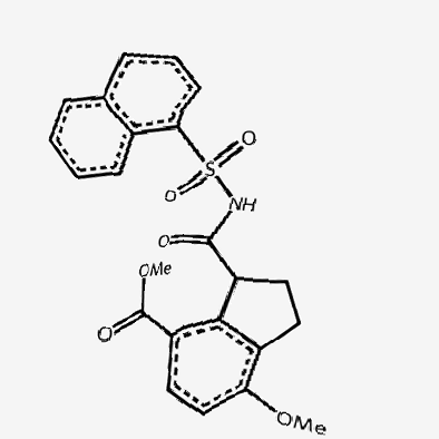 COC(=O)c1ccc(OC)c2c1C(C(=O)NS(=O)(=O)c1cccc3ccccc13)CC2